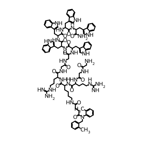 Cc1ccccc1CN(C(=O)CCC(=O)NCCCCC(NC(=O)C(CCCNC(=N)N)NC(=O)CNC(=O)CN)C(=O)NC(CCCNC(=N)N)C(=O)NCC(=O)NCC(=O)NC(Cc1c[nH]c2ccccc12)C(=O)NC(Cc1c[nH]c2ccccc12)C(=O)NC(Cc1c[nH]c2ccccc12)C(=O)NC(Cc1c[nH]c2ccccc12)C(=O)NC(Cc1c[nH]c2ccccc12)C(N)=O)c1ccccc1C